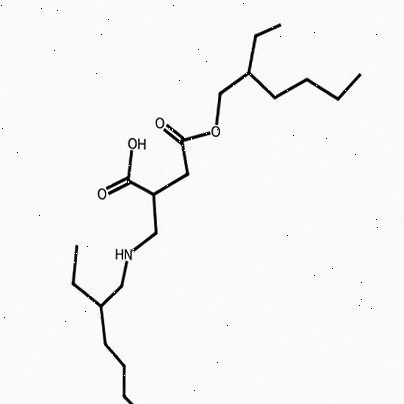 CCCCC(CC)CNCC(CC(=O)OCC(CC)CCCC)C(=O)O